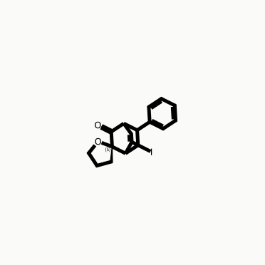 O=C1C2C=C(I)C(CC2c2ccccc2)[C@@]12CCCO2